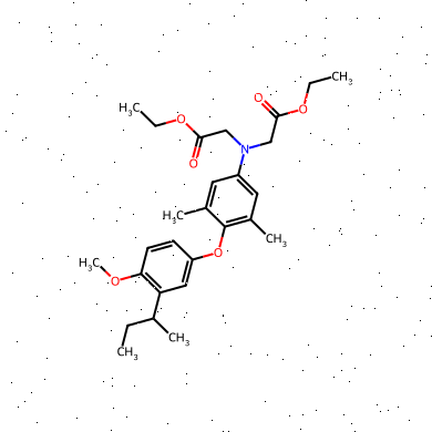 CCOC(=O)CN(CC(=O)OCC)c1cc(C)c(Oc2ccc(OC)c(C(C)CC)c2)c(C)c1